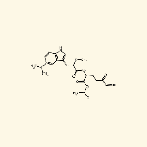 CO[C@@H](Cc1c[nH]c2ccc(N(C)C)cc12)C(=O)N[C@@H](CCC(=O)C=N)C(=O)OC(C)C